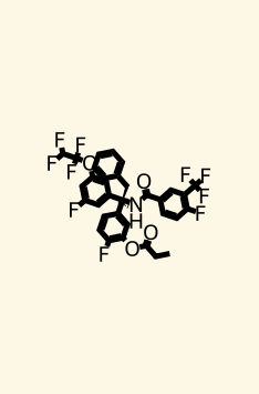 CCC(=O)Oc1cc([C@@](Cc2ccccc2)(NC(=O)c2ccc(F)c(C(F)(F)F)c2)c2cc(F)cc(OC(F)(F)C(F)F)c2)ccc1F